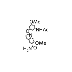 COc1cc(NC(C)=O)cc(Oc2ccc3cc(C(N)=O)c(OC)cc3n2)c1